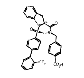 O=C(O)c1ccc(CNC(=O)[C@@H]2Cc3ccccc3N2S(=O)(=O)c2ccc(-c3ccccc3C(F)(F)F)cc2)cc1